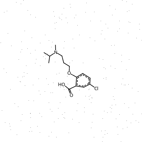 CC(C)N(C)CCCOc1ccc(Cl)cc1C(=O)O